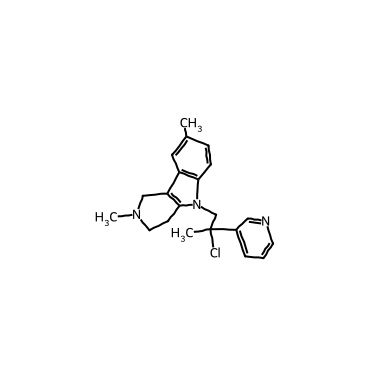 Cc1ccc2c(c1)c1c(n2CC(C)(Cl)c2cccnc2)CCN(C)C1